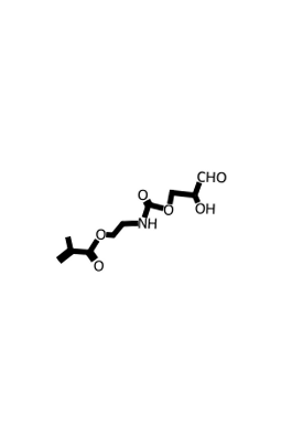 C=C(C)C(=O)OCCNC(=O)OCC(O)C=O